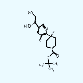 CC(C)(C)OC(=O)N1CCC(F)(c2ncc([C@H](O)CO)cc2Cl)CC1